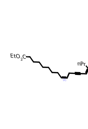 CCC/C=C\C#CC/C=C\CCCCCCCC(=O)OCC